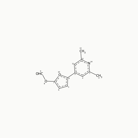 Cc1cc(-c2ccc(OC=O)o2)cc(C)n1